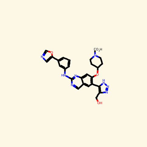 O=C(O)N1CCC(Oc2cc3nc(Nc4cccc(-c5cnco5)c4)ncc3cc2-c2[nH]nnc2CO)CC1